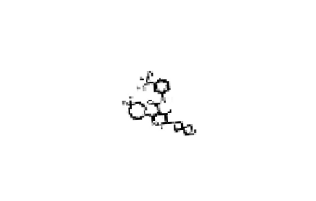 Cc1c(N2CC3(COC3)C2)nnc(N2CCCC(F)(F)CC2)c1C(=O)Nc1cccc([S@](C)(=N)=O)c1